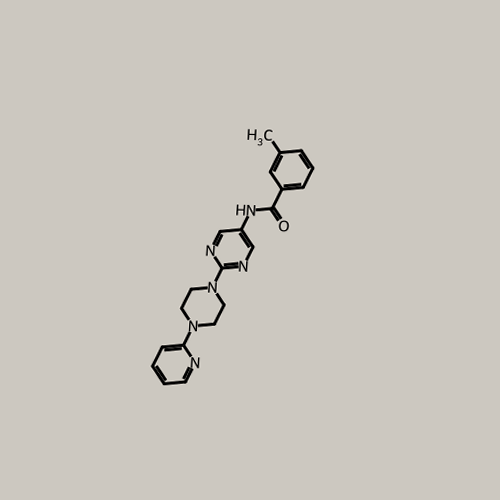 Cc1cccc(C(=O)Nc2cnc(N3CCN(c4ccccn4)CC3)nc2)c1